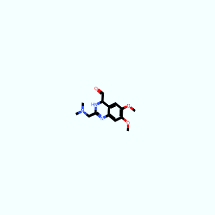 COc1cc2c(cc1OC)C(C=O)NC(CN(C)C)=N2